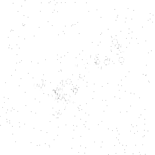 Cc1c(-c2ccc(N3CCc4cccc(C(=O)Nc5nc6ccccc6s5)c4C3)nc2C(=O)O)cnn1CC12CC3(C)CC(C)(C1)CC(OCCN(CCCc1cn(C[C@@H]4O[C@H](C(=O)O)[C@@H](O)[C@H](O)[C@H]4O)nn1)C(=O)OCc1ccc(NC(=O)[C@H](CCCCNC(N)=O)NC(=O)[C@@H](NC(=O)CCCCCN4C(=O)C=CC4=O)C(C)C)cc1)(C3)C2